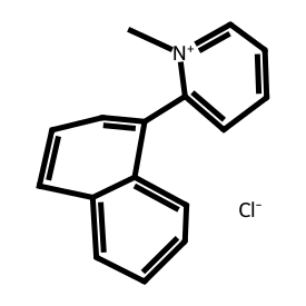 C[n+]1ccccc1-c1cccc2ccccc12.[Cl-]